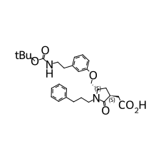 CC(C)(C)OC(=O)NCCc1cccc(OC[C@@H]2C[C@@H](CC(=O)O)C(=O)N2CCCc2ccccc2)c1